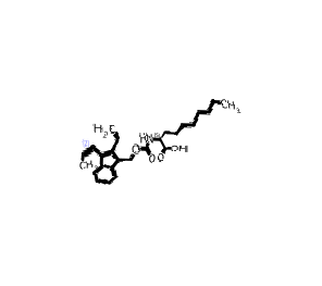 C=CC1=C(/C=C\C)c2ccccc2C1COC(=O)N[C@@H](CCCCCCCC)C(=O)O